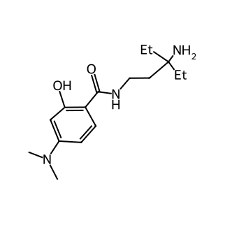 CCC(N)(CC)CCNC(=O)c1ccc(N(C)C)cc1O